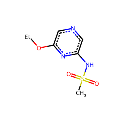 CCOc1cncc(NS(C)(=O)=O)n1